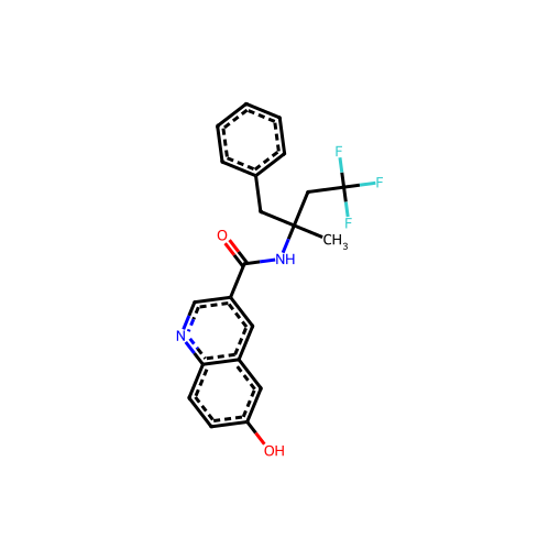 CC(Cc1ccccc1)(CC(F)(F)F)NC(=O)c1cnc2ccc(O)cc2c1